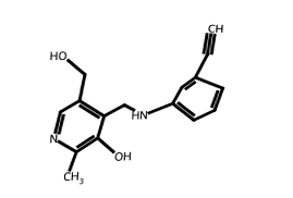 C#Cc1cccc(NCc2c(CO)cnc(C)c2O)c1